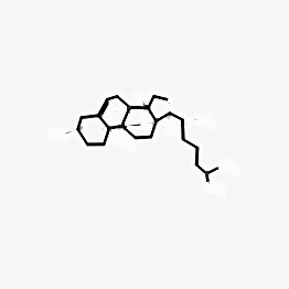 CC(C)CCC[C@@H](C)[C@H]1CC[C@H]2[C@@H]3CC=C4C[C@H](O)CC[C@]4(C)[C@H]3CC[C@]12C